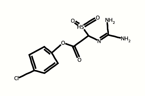 NC(N)=NC(C(=O)Oc1ccc(Cl)cc1)[SH](=O)=O